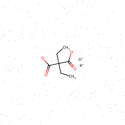 CCC(CC)(C(=O)[O-])C(=O)[O-].[K+].[Li+]